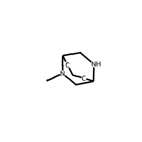 CN1CC2CCCC1CN2